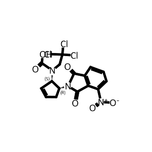 O=C(O)N(CC(Cl)(Cl)Cl)[C@H]1C=CC[C@H]1N1C(=O)c2cccc([N+](=O)[O-])c2C1=O